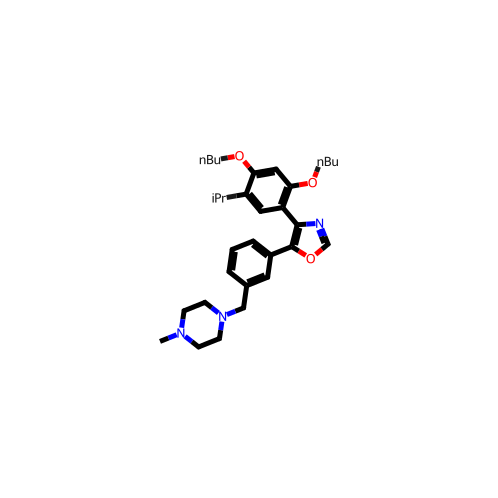 CCCCOc1cc(OCCCC)c(C(C)C)cc1-c1ncoc1-c1cccc(CN2CCN(C)CC2)c1